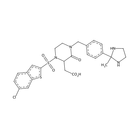 CC1(c2ccc(CN3CCN(S(=O)(=O)c4cc5ccc(Cl)cc5s4)C(CC(=O)O)C3=O)cc2)NCCN1